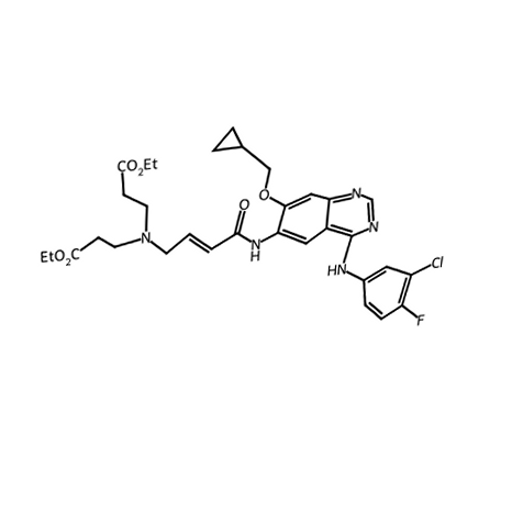 CCOC(=O)CCN(CC=CC(=O)Nc1cc2c(Nc3ccc(F)c(Cl)c3)ncnc2cc1OCC1CC1)CCC(=O)OCC